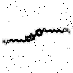 CCCCC/C=C/COc1ccc(-c2cn3cc(CCCCCCC)nc3s2)cc1